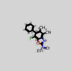 CCN(CC)c1nc2c(C#N)c(C)c(-c3ccccc3)c(F)c2o1